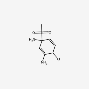 CS(=O)(=O)C1(N)C=CC(Cl)C(N)=C1